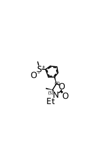 CCN1C(=O)O[C@H](c2cccc([S+](C)[O-])c2)[C@@H]1C